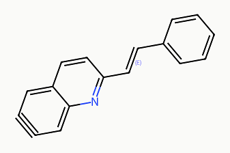 c1cc2ccc(/C=C/c3ccccc3)nc2cc#1